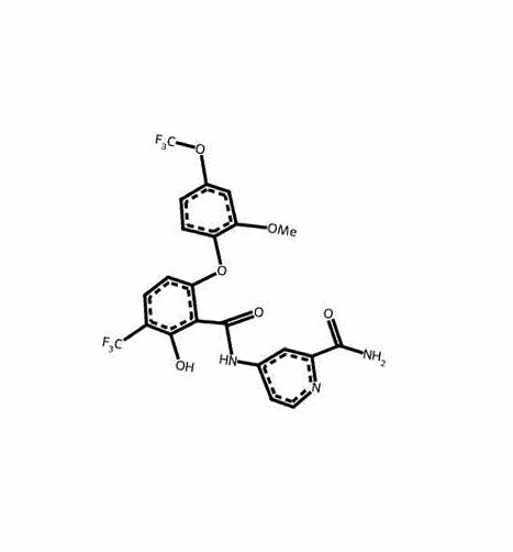 COc1cc(OC(F)(F)F)ccc1Oc1ccc(C(F)(F)F)c(O)c1C(=O)Nc1ccnc(C(N)=O)c1